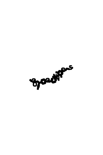 CC#CC(CC(=O)OCC)c1ccc(OCc2ccc3nc(-c4c(C)cc(OCCCSC)cc4C)nn3c2)cc1